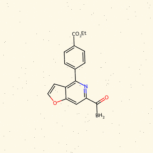 BC(=O)c1cc2occc2c(-c2ccc(C(=O)OCC)cc2)n1